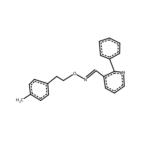 Cc1ccc(CCON=Cc2cccnc2-c2ccccc2)cc1